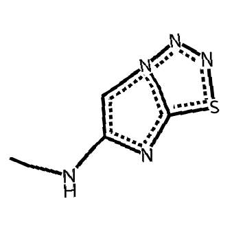 CNc1cn2nnsc2n1